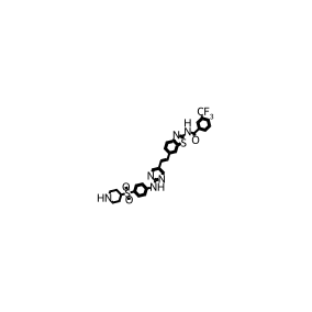 O=C(Nc1nc2ccc(/C=C/c3cnc(Nc4ccc(S(=O)(=O)C5CCNCC5)cc4)nc3)cc2s1)c1cccc(C(F)(F)F)c1